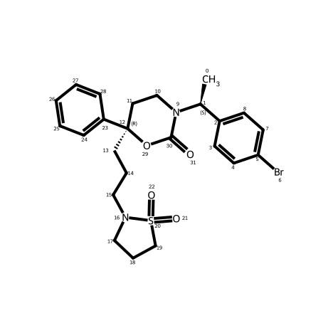 C[C@@H](c1ccc(Br)cc1)N1CC[C@](CCCN2CCCS2(=O)=O)(c2ccccc2)OC1=O